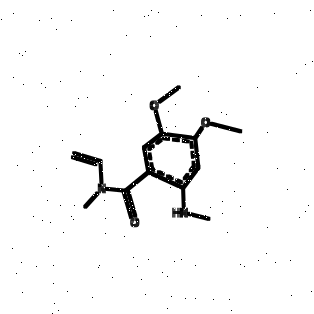 C=CN(C)C(=O)c1cc(OC)c(OC)cc1NC